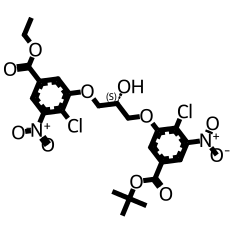 CCOC(=O)c1cc(OC[C@H](O)COc2cc(C(=O)OC(C)(C)C)cc([N+](=O)[O-])c2Cl)c(Cl)c([N+](=O)[O-])c1